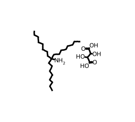 CCCCCCCCC(N)(CCCCCCCC)CCCCCCCC.O=C(O)C(O)C(O)C(=O)O